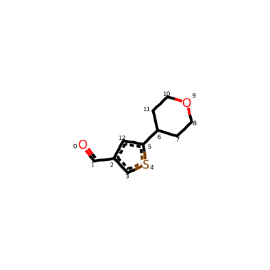 O=Cc1csc(C2CCOCC2)c1